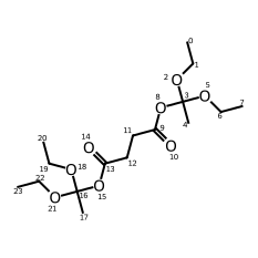 CCOC(C)(OCC)OC(=O)CCC(=O)OC(C)(OCC)OCC